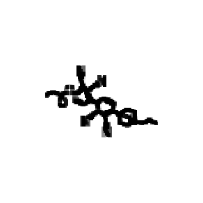 CCCC12CCC(c3ccc(-c4ccc(OC(=O)CC)c(C#N)c4C#N)c(C#N)c3C#N)(CC1)CC2